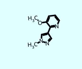 COc1cccnc1-c1cnn(C)c1